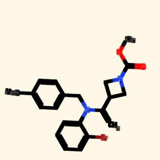 C=C(C1CN(C(=O)OC(C)(C)C)C1)N(Cc1ccc(OC)cc1)c1ccccc1Br